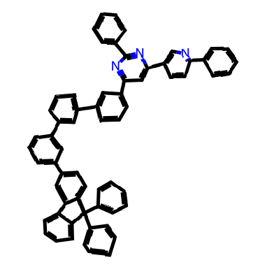 c1ccc(-c2ccc(-c3cc(-c4cccc(-c5cccc(-c6cccc(-c7ccc8c(c7)-c7ccccc7C8(c7ccccc7)c7ccccc7)c6)c5)c4)nc(-c4ccccc4)n3)cn2)cc1